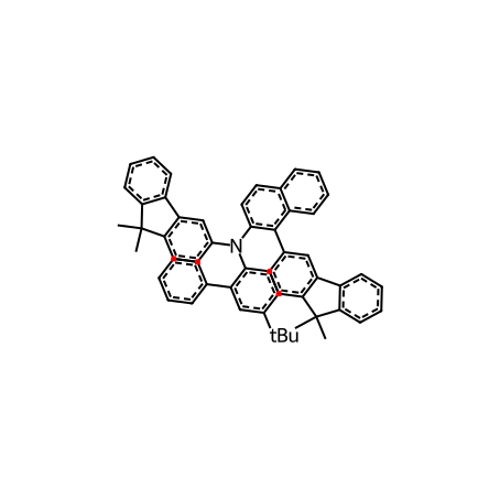 CC(C)(C)c1ccc(N(c2ccc3c(c2)-c2ccccc2C3(C)C)c2ccc3ccccc3c2-c2ccc3c(c2)-c2ccccc2C3(C)C)c(-c2ccccc2)c1